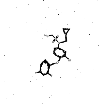 CCS(=O)(=O)N(CC1CC1)c1ccc(Oc2ccc(F)cc2F)c(Br)c1